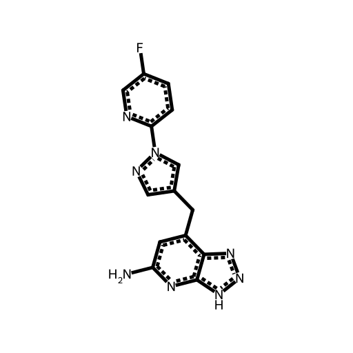 Nc1cc(Cc2cnn(-c3ccc(F)cn3)c2)c2nn[nH]c2n1